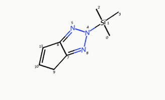 C[Si](C)(C)n1nc2c(n1)CC=C2